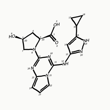 O=C(O)[C@@H]1C[C@H](O)CN1c1nc(Nc2cc(C3CC3)[nH]n2)n2cccc2n1